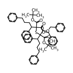 CC(C)(C)OC(=O)C(SC(C(=O)OCc1ccccc1)(C(=O)OC(C)(C)C)C(CCCc1ccccc1)c1ccccc1)(C(=O)OCc1ccccc1)C(CCCc1ccccc1)c1ccccc1